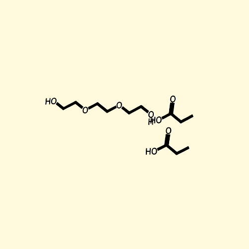 CCC(=O)O.CCC(=O)O.OCCOCCOCCO